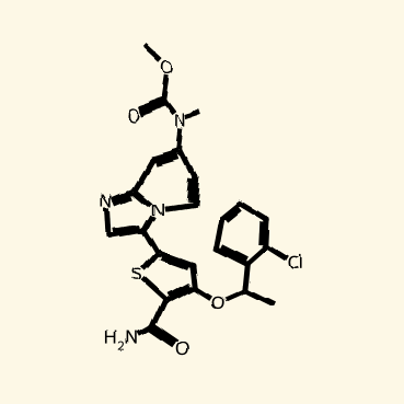 COC(=O)N(C)c1ccn2c(-c3cc(OC(C)c4ccccc4Cl)c(C(N)=O)s3)cnc2c1